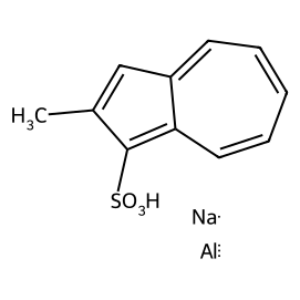 Cc1cc2cccccc-2c1S(=O)(=O)O.[Al].[Na]